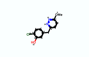 COc1ccc(Cc2ccc(Cl)c(O)c2)nn1